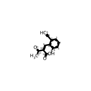 C#Cc1cccc(F)c1/C=C(/C(C)=O)C(=O)O